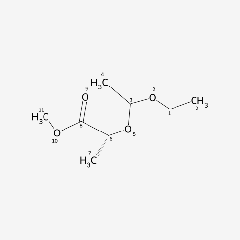 CCOC(C)O[C@H](C)C(=O)OC